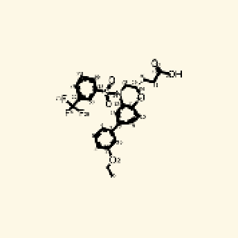 CCOc1cccc(-c2ccc3c(c2)N(S(=O)(=O)c2cccc(C(F)(F)F)c2)C[C@H](CCC(=O)O)O3)c1